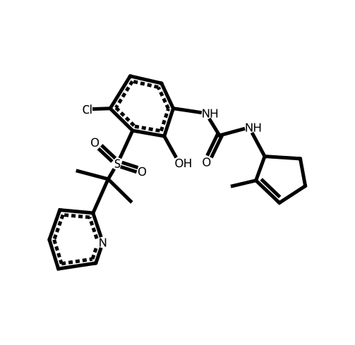 CC1=CCCC1NC(=O)Nc1ccc(Cl)c(S(=O)(=O)C(C)(C)c2ccccn2)c1O